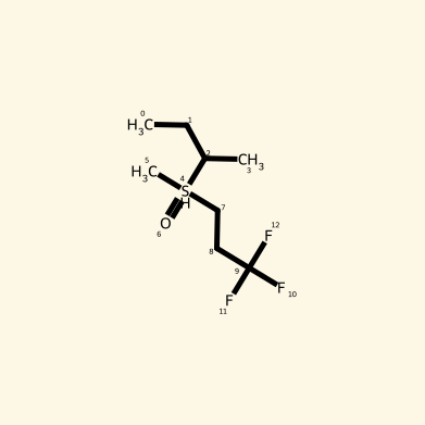 CCC(C)[SH](C)(=O)CCC(F)(F)F